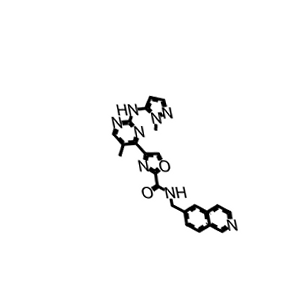 Cc1cnc(Nc2ccnn2C)nc1-c1coc(C(=O)NCc2ccc3cnccc3c2)n1